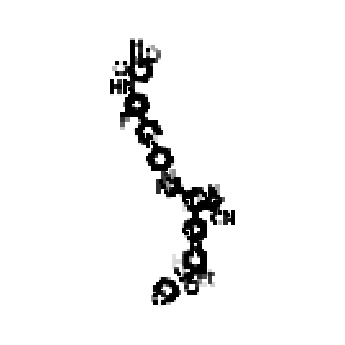 CCC1(C(=O)NC2CCOCC2)CCN(c2ccc(-c3nc(-c4cnn([C@H]5CC[C@H](N6CCC(c7ccc(N[C@@H]8CCC(=O)NC8=O)cc7F)CC6)CC5)c4)cn4ncc(C#N)c34)cn2)CC1